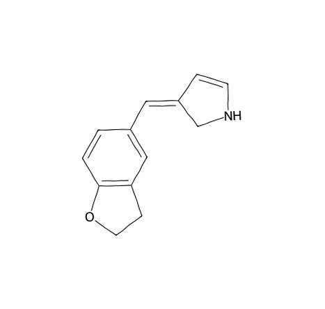 C1=CC(=Cc2ccc3c(c2)CCO3)CN1